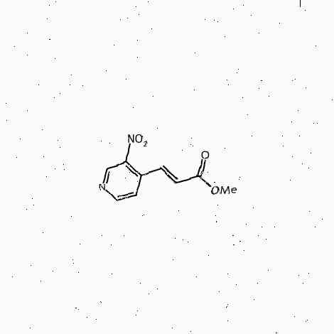 COC(=O)C=Cc1ccncc1[N+](=O)[O-]